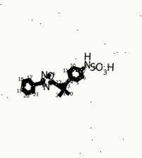 CC1(C)C(c2ccc(NS(=O)(=O)O)cc2)C1c1nc(-c2ccccc2)no1